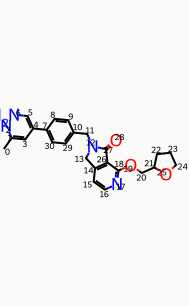 C/C(N)=C/C(=C\N)c1ccc(CN2Cc3ccnc(OCC4CCCO4)c3C2=O)cc1